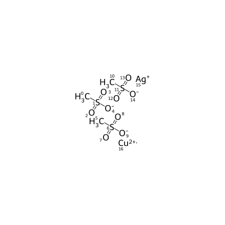 CS(=O)(=O)[O-].CS(=O)(=O)[O-].CS(=O)(=O)[O-].[Ag+].[Cu+2]